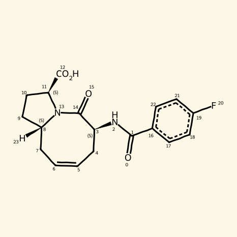 O=C(N[C@H]1CC=CC[C@@H]2CC[C@@H](C(=O)O)N2C1=O)c1ccc(F)cc1